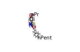 CCCCCC1CCC(CCCOc2nnc(-c3ccc(OCCC)cc3)s2)CC1